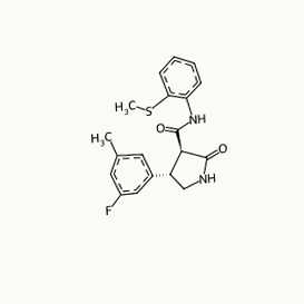 CSc1ccccc1NC(=O)[C@H]1C(=O)NC[C@@H]1c1cc(C)cc(F)c1